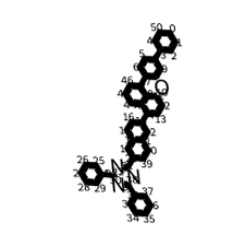 c1ccc(-c2ccc3c(c2)Oc2ccc(-c4ccc5cc(-c6nc(-c7ccccc7)nc(-c7ccccc7)n6)ccc5c4)c4cccc-3c24)cc1